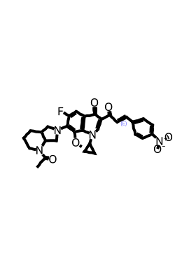 COc1c(N2CC3CCCN(C(C)=O)C3C2)c(F)cc2c(=O)c(C(=O)/C=C/c3ccc([N+](=O)[O-])cc3)cn(C3CC3)c12